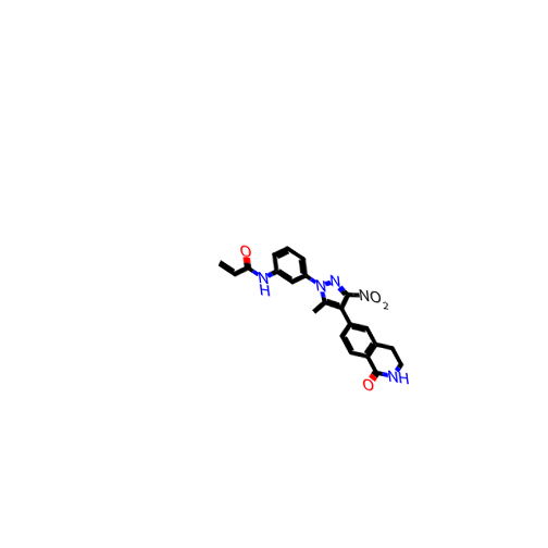 C=CC(=O)Nc1cccc(-n2nc([N+](=O)[O-])c(-c3ccc4c(c3)CCNC4=O)c2C)c1